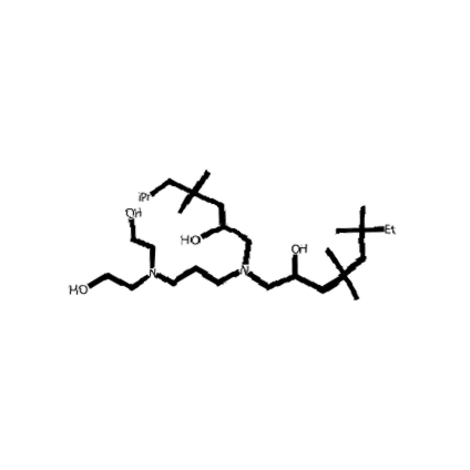 CCC(C)(C)CC(C)(C)CC(O)CN(CCCN(CCO)CCO)CC(O)CC(C)(C)CC(C)C